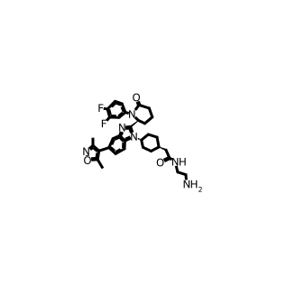 Cc1noc(C)c1-c1ccc2c(c1)nc([C@@H]1CCCC(=O)N1c1ccc(F)c(F)c1)n2[C@H]1CC[C@H](CC(=O)NCCN)CC1